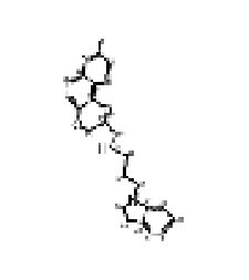 Cc1ccc2c3c(ccc2n1)OCC(CNCCCN1CCc2ccccc21)O3